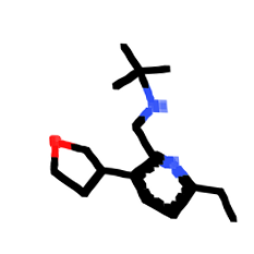 CCc1ccc(C2CCOC2)c(CNC(C)(C)C)n1